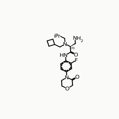 CC(C)CN(CC1CCC1)[C@@H](CN)C(=O)Nc1ccc(N2CCOCC2=O)cc1F